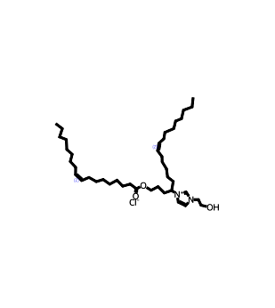 CCCCCCCC/C=C\CCCCCCCC(=O)OCCCC(CCCCC/C=C\CCCCCCCC)[n+]1ccn(CCO)c1.[Cl-]